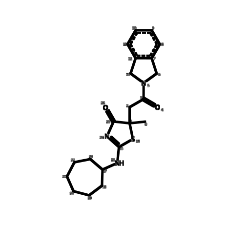 CC1(CC(=O)N2Cc3ccccc3C2)SC(NC2CCCCCC2)=NC1=O